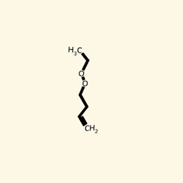 C=CCCOOCC